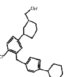 OCC1CCCC(c2ccc(Cl)c(Cc3ccc(C4CCCCC4)cc3)c2)C1